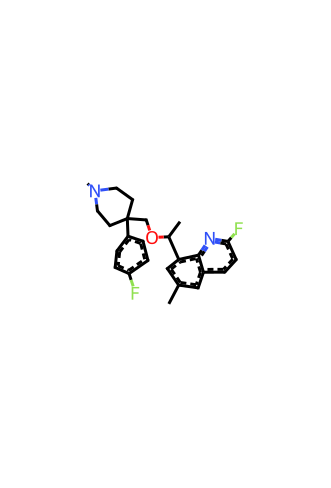 Cc1cc(C(C)OCC2(c3ccc(F)cc3)CCN(C)CC2)c2nc(F)ccc2c1